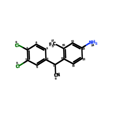 N#CC(c1ccc(Cl)c(Cl)c1)c1ccc(N)cc1C(F)(F)F